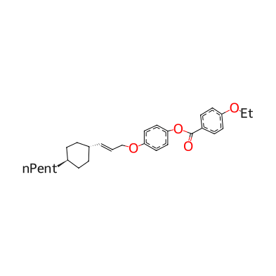 CCCCC[C@H]1CC[C@H](/C=C/COc2ccc(OC(=O)c3ccc(OCC)cc3)cc2)CC1